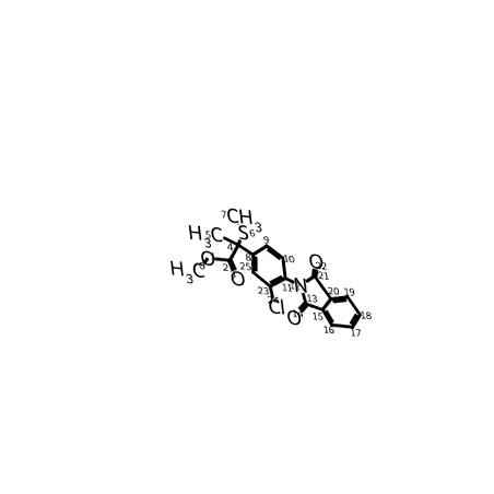 COC(=O)C(C)(SC)c1ccc(N2C(=O)c3ccccc3C2=O)c(Cl)c1